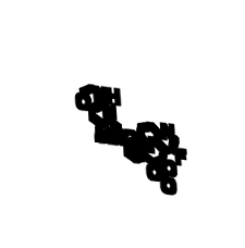 COc1ccc2ncc(F)c(C3OC(=O)OC3C34CCC(NCc5ccc6c(n5)NCCO6)(CC3)CO4)c2n1